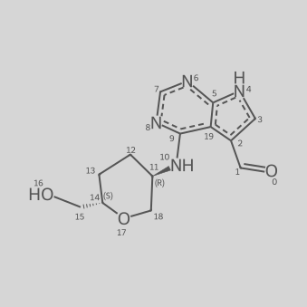 O=Cc1c[nH]c2ncnc(N[C@@H]3CC[C@@H](CO)OC3)c12